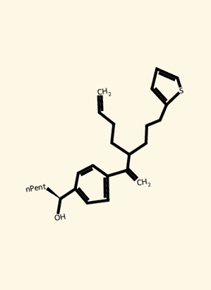 C=CCCC(CCCc1cccs1)C(=C)c1ccc([C@@H](O)CCCCC)cc1